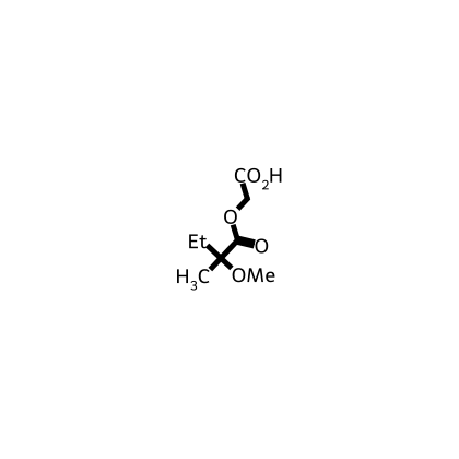 CCC(C)(OC)C(=O)OCC(=O)O